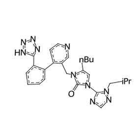 CCCCc1cn(-c2ncnn2CC(C)C)c(=O)n1Cc1cnccc1-c1ccccc1-c1nnn[nH]1